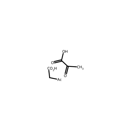 CC(=O)C(=O)O.CC(=O)CC(=O)O